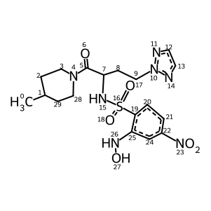 CC1CCN(C(=O)C(CCn2nccn2)NS(=O)(=O)c2ccc([N+](=O)[O-])cc2NO)CC1